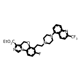 CCOC(=O)c1ncn2c1COc1c-2ccc(F)c1CCN1CCN(c2cccc3nc(C(F)(F)F)ccc23)CC1